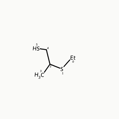 CCSC(C)CS